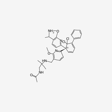 COc1nc([C@]2(c3ccc(C(C)N)c(OC)n3)C=CC=C(c3ccccc3)C2(Cl)Cl)ccc1CNC(C)(C)CNC(C)=O